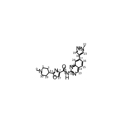 CN1CCC(c2nc(C(=O)Nc3ncc4ccc(-c5cnn(C)c5)cc4n3)co2)CC1